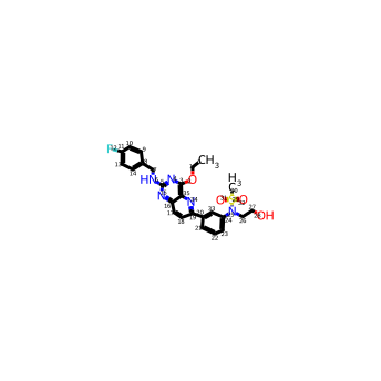 CCOc1nc(NCc2ccc(F)cc2)nc2ccc(-c3cccc(N(CCO)S(C)(=O)=O)c3)nc12